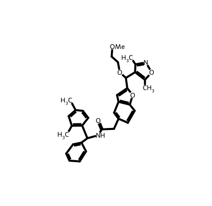 COCCOC(c1cc2cc(CC(=O)NC(c3ccccc3)c3ccc(C)cc3C)ccc2o1)c1c(C)noc1C